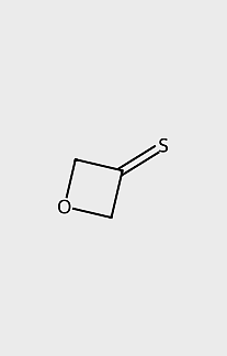 S=C1COC1